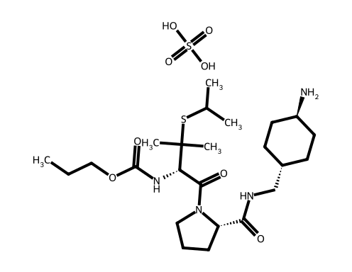 CCCOC(=O)N[C@@H](C(=O)N1CCC[C@H]1C(=O)NC[C@H]1CC[C@H](N)CC1)C(C)(C)SC(C)C.O=S(=O)(O)O